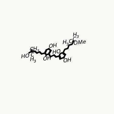 COC(C)(C)CCCCC1=CC(O)C=C(CCCC2=CC(O)C=C(CCCCC(C)(C)CO)C2O)C1O